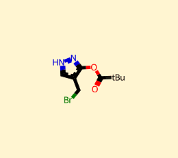 CC(C)(C)C(=O)Oc1n[nH]cc1CBr